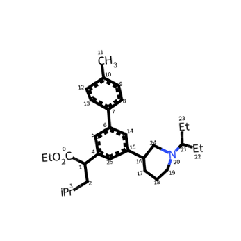 CCOC(=O)C(CC(C)C)c1cc(-c2ccc(C)cc2)cc(C2CCCN(C(CC)CC)C2)c1